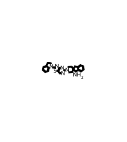 N[C@@H]1c2ccccc2CC12CCN(c1ncc3sc(N4CCc5ccccc54)nc3n1)CC2